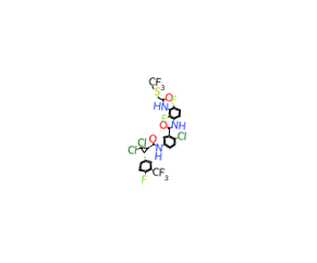 O=C(CSCC(F)(F)F)Nc1c(F)ccc(NC(=O)c2cc(NC(=O)[C@H]3[C@H](c4ccc(F)c(C(F)(F)F)c4)C3(Cl)Cl)ccc2Cl)c1F